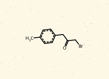 Cc1ccc(CC(=O)CBr)cc1